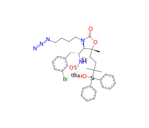 CC[C@@H](CC(C)(C)[Si](O)(c1ccccc1)c1ccccc1)[C@@]1(C)OC(=O)N(CCCCN=[N+]=[N-])[C@@H]1[C@@H](Cc1cccc(Br)c1)N[S@@+]([O-])C(C)(C)C